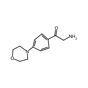 NCC(=O)c1ccc(N2CCOCC2)cc1